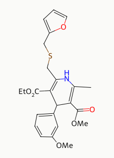 CCOC(=O)C1=C(CSCc2ccco2)NC(C)=C(C(=O)OC)C1c1cccc(OC)c1